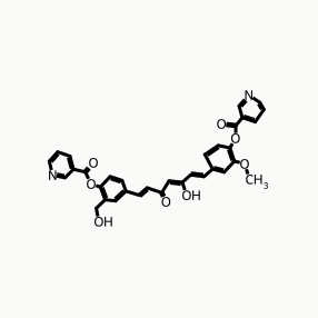 COc1cc(/C=C/C(O)=C/C(=O)/C=C/c2ccc(OC(=O)c3cccnc3)c(CO)c2)ccc1OC(=O)c1cccnc1